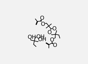 C=C(C)C(=O)OCC1(CC)COC(C(C)(C)COC(=O)C(=C)C)OC1.CCC(CO)(CO)CO